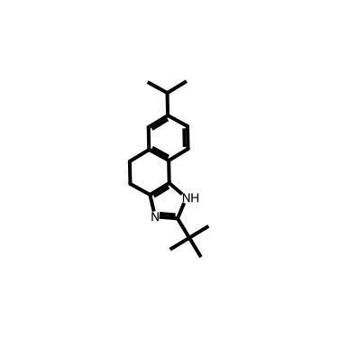 CC(C)c1ccc2c(c1)CCc1nc(C(C)(C)C)[nH]c1-2